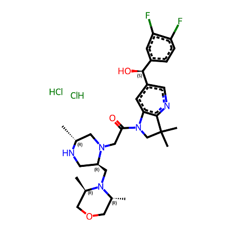 C[C@@H]1CN(CC(=O)N2CC(C)(C)c3ncc([C@@H](O)c4ccc(F)c(F)c4)cc32)[C@@H](CN2[C@H](C)COC[C@H]2C)CN1.Cl.Cl